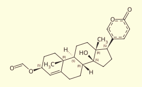 C[C@]12CC[C@H](OC=O)C=C1CC[C@@H]1[C@@H]2CC[C@]2(C)[C@@H](c3ccc(=O)oc3)CC[C@]12O